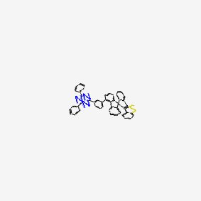 c1ccc(-c2nc(-c3ccccc3)nc(-c3cccc(-c4cccc5c4-c4ccccc4C54c5ccccc5-c5sc6ccccc6c54)c3)n2)cc1